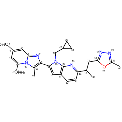 COc1cc(C=O)cc2nc(-c3cc4ccc(C(C)Cc5nnc(C)o5)nc4n3CC3CC3)c(C)n12